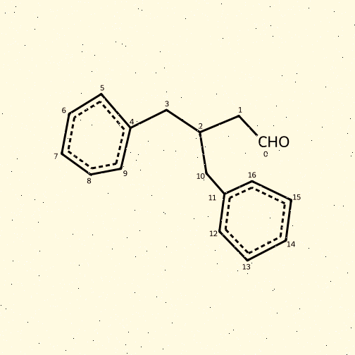 O=CCC(Cc1ccccc1)Cc1ccccc1